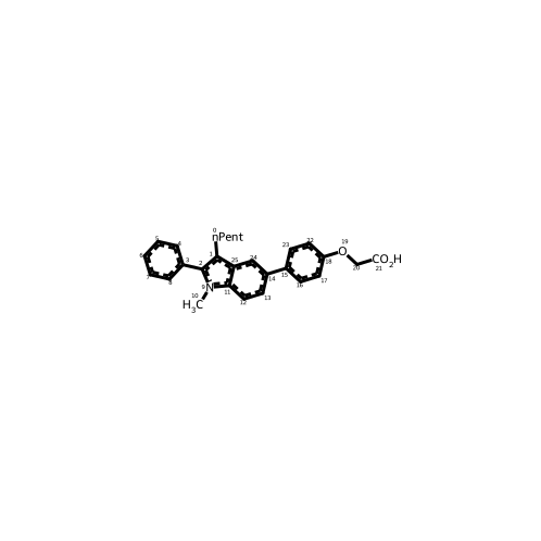 CCCCCc1c(-c2ccccc2)n(C)c2ccc(-c3ccc(OCC(=O)O)cc3)cc12